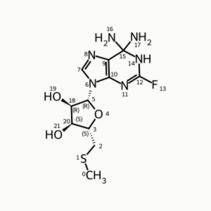 CSC[C@H]1O[C@@H](n2cnc3c2N=C(F)NC3(N)N)[C@H](O)[C@@H]1O